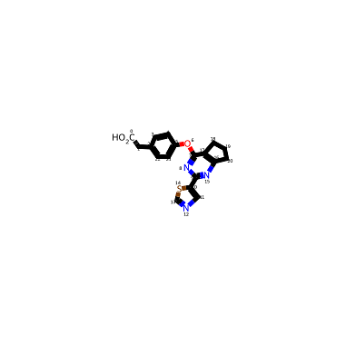 O=C(O)Cc1ccc(Oc2nc(-c3cncs3)nc3c2CCC3)cc1